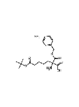 CC(C)(C)OC(=O)CCCCC(N)(C(=O)O)C(=O)OCc1ccccc1.N